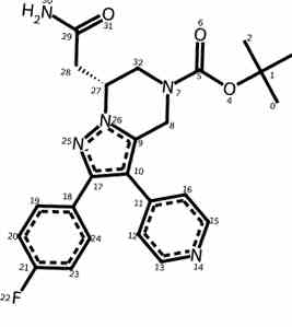 CC(C)(C)OC(=O)N1Cc2c(-c3ccncc3)c(-c3ccc(F)cc3)nn2[C@H](CC(N)=O)C1